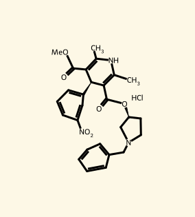 COC(=O)C1=C(C)NC(C)=C(C(=O)O[C@H]2CCN(Cc3ccccc3)C2)[C@H]1c1cccc([N+](=O)[O-])c1.Cl